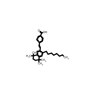 CCCCCCCCc1cc2c(cc1/C=C/c1ccc(C(=O)O)cc1)C(C)(C)CCC2(C)C